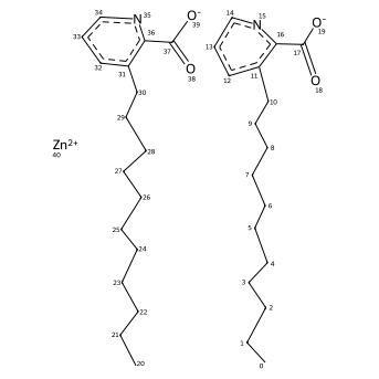 CCCCCCCCCCCc1cccnc1C(=O)[O-].CCCCCCCCCCCc1cccnc1C(=O)[O-].[Zn+2]